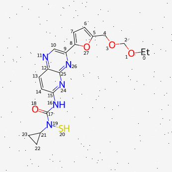 CCOCOCc1ccc(-c2cnc3ccc(NC(=O)N(S)C4CC4)nc3n2)o1